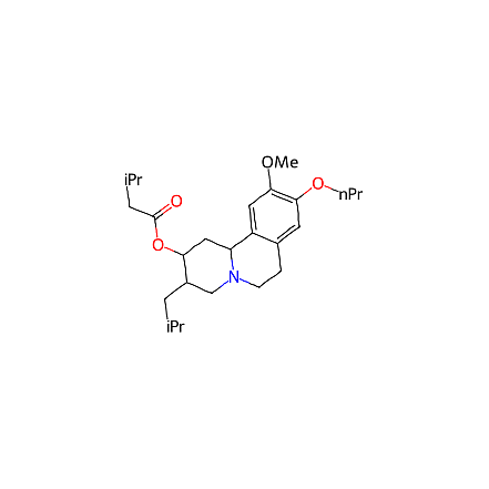 CCCOc1cc2c(cc1OC)C1CC(OC(=O)CC(C)C)C(CC(C)C)CN1CC2